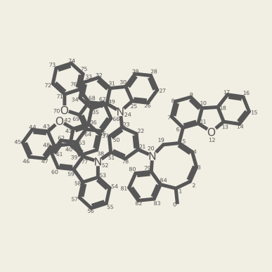 CC1/C=C\C=C(\c2cccc3c2OC2C=CC=CC32)CN(c2cc(-n3c4ccccc4c4cccc(-c5cccc6c5oc5ccccc56)c43)cc(-n3c4ccccc4c4cccc(-c5cccc6c5oc5ccccc56)c43)c2)c2ccccc21